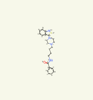 O=C(NCCCCN1CCN(c2snc3ccccc23)CC1)c1ccccc1